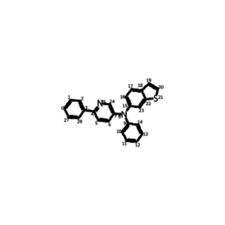 c1ccc(-c2ccc(N(c3ccccc3)c3ccc4ccsc4c3)cn2)cc1